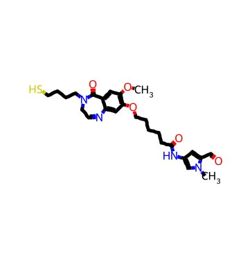 COc1cc2c(cc1OCCCCCC(=O)Nc1cc(C=O)n(C)c1)N=CCN(CCCCS)C2=O